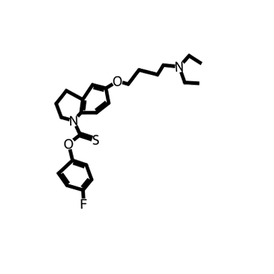 CCN(CC)CCCCOc1ccc2c(c1)CCCN2C(=S)Oc1ccc(F)cc1